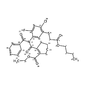 CCCCOC(=O)CSc1cc(N(C(=O)C2=C(C(=O)OCC)CCCC2)C(=O)c2ccccc2)c(F)cc1Cl